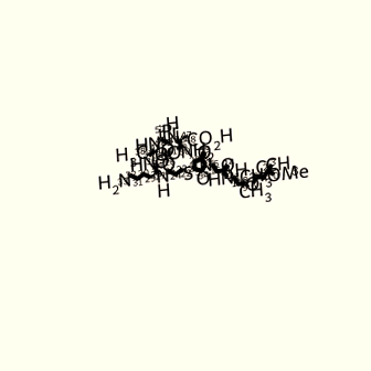 COC(C)(C)CCOC(C)(C)CCNC(=O)CCN1C(=O)CC(SCCC(=O)N[C@@H](CCCCN)C(=O)N[C@H](C)C(=O)NC(C(=O)N[C@@H](CC(=O)O)C(N)=O)C(C)C)C1=O